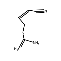 C=C(N)SC/C=C\C#N